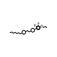 CCCCCCCC1CCC(CCC2CCC(c3ccc(OCCC)c(F)c3F)CC2)CC1